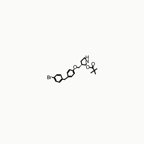 CC(C)(C)C(=O)OC1NCC[C@@H]1COc1ccc(Cc2ccc(Br)cc2)cc1